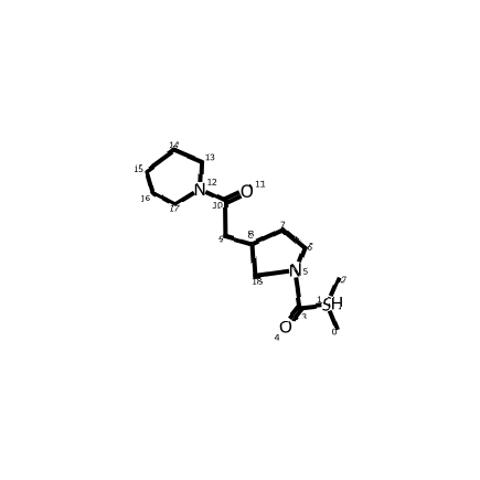 C[SH](C)C(=O)N1CCC(CC(=O)N2CCCCC2)C1